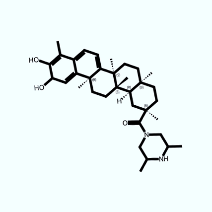 CC1=C(O)C(O)C=C2C1=CC=C1[C@@]2(C)CC[C@@]2(C)[C@@H]3C[C@](C)(C(=O)N4CC(C)NC(C)C4)CC[C@]3(C)CC[C@]12C